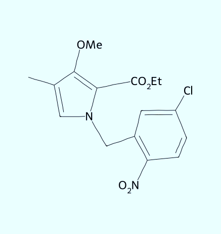 CCOC(=O)c1c(OC)c(C)cn1Cc1cc(Cl)ccc1[N+](=O)[O-]